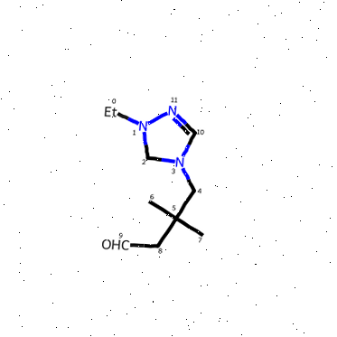 CCN1CN(CC(C)(C)CC=O)C=N1